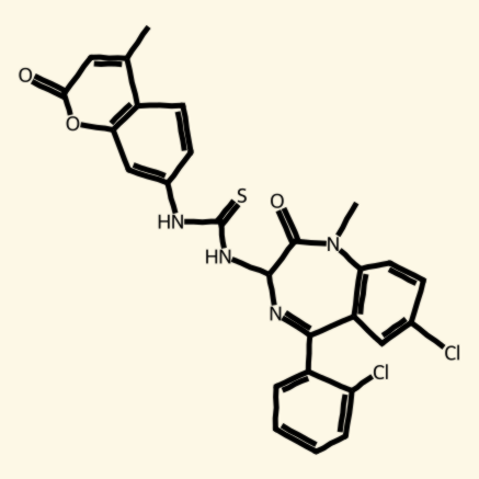 Cc1cc(=O)oc2cc(NC(=S)NC3N=C(c4ccccc4Cl)c4cc(Cl)ccc4N(C)C3=O)ccc12